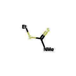 [CH2]NC(=S)SCC